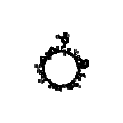 CC[C@H](C)[C@@H]1NC(=O)[C@H](C)N(C)C(=O)C[C@@H](C)NC(=O)[C@H](C(C)C)N(C)C(=O)C2(CCCC2)NC(=O)[C@@H]2CCCN2C(=O)[C@H](CCc2ccc(C(F)(F)F)c(Cl)c2)NC(=O)CN(C)C(=O)[C@H](CC2CCCCC2)N(C)C(=O)CN(C)C(=O)CN(C)C1=O